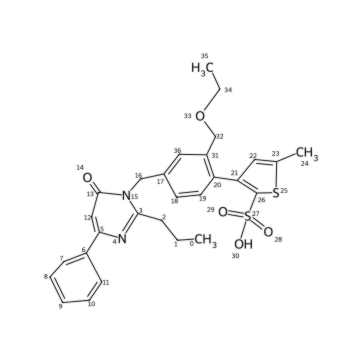 CCCc1nc(-c2ccccc2)cc(=O)n1Cc1ccc(-c2cc(C)sc2S(=O)(=O)O)c(COCC)c1